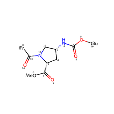 COC(=O)[C@H]1C[C@@H](NC(=O)OC(C)(C)C)CN1C(=O)C(C)C